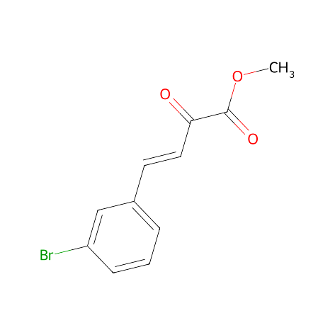 COC(=O)C(=O)C=Cc1cccc(Br)c1